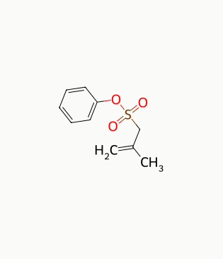 C=C(C)CS(=O)(=O)Oc1ccccc1